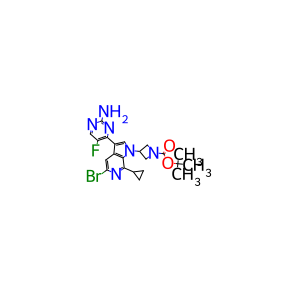 CC(C)(C)OC(=O)N1CC(n2cc(-c3nc(N)ncc3F)c3cc(Br)nc(C4CC4)c32)C1